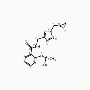 CC(O)Oc1ccccc1C(=O)NCc1cn(C[C@H]2CO2)nn1